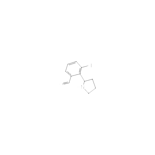 O=Cc1cccc(Cl)c1C1CCCN1